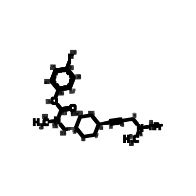 CCCN(C)CC#C[C@H]1CC[C@H](CN(C)C(=O)Oc2ccc(F)cc2)CC1